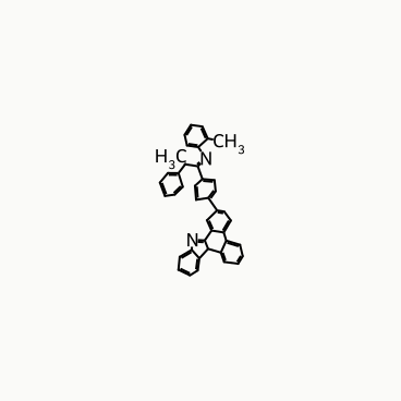 Cc1ccccc1/N=C(/c1ccc(-c2ccc3c(c2)C2=Nc4ccccc4C2c2ccccc2-3)cc1)[C@H](C)c1ccccc1